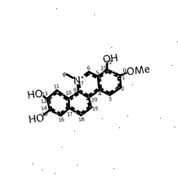 COc1ccc2c(c[n+](C)c3c4cc(O)c(O)cc4ccc23)c1O